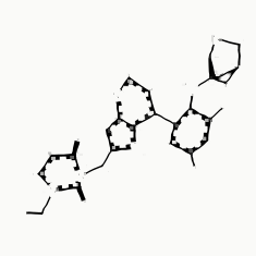 Cc1cc(Cl)cc(-c2ccnc3cc(Cn4c(=O)ccn(CC(F)(F)F)c4=O)sc23)c1OC1CC2CNC1C2